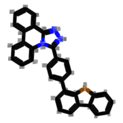 c1ccc2c(c1)sc1c(-c3ccc(-c4nnc5c6ccccc6c6ccccc6n45)cc3)cccc12